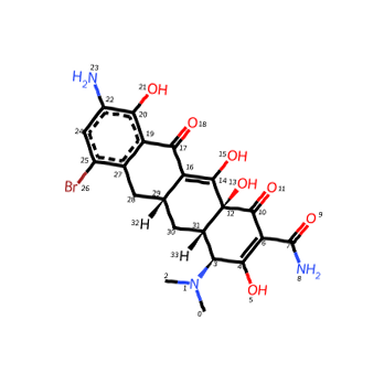 CN(C)[C@@H]1C(O)=C(C(N)=O)C(=O)[C@@]2(O)C(O)=C3C(=O)c4c(O)c(N)cc(Br)c4C[C@H]3C[C@@H]12